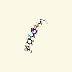 CCCCOc1ccc(CC(F)[C@H]2CC[C@H](CCC)CC2)nn1